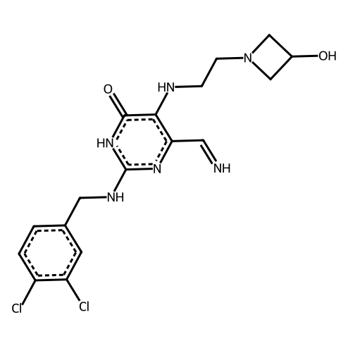 N=Cc1nc(NCc2ccc(Cl)c(Cl)c2)[nH]c(=O)c1NCCN1CC(O)C1